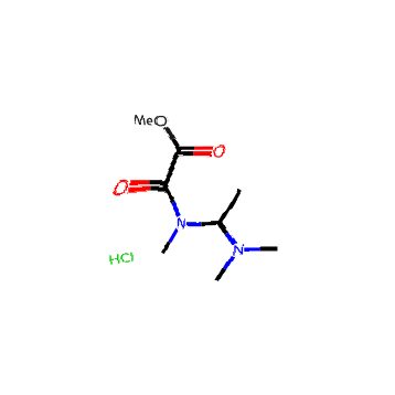 COC(=O)C(=O)N(C)C(C)N(C)C.Cl